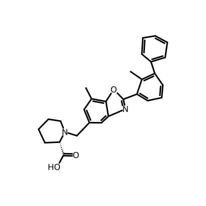 Cc1c(-c2ccccc2)cccc1-c1nc2cc(CN3CCCC[C@H]3C(=O)O)cc(C)c2o1